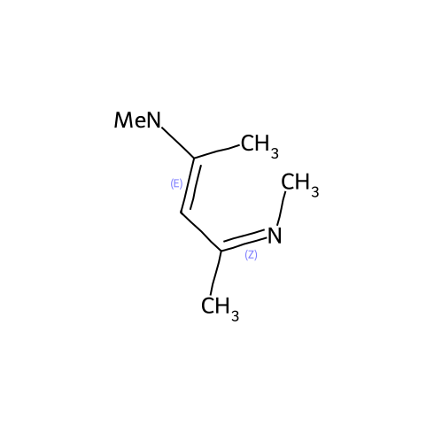 C/N=C(C)\C=C(/C)NC